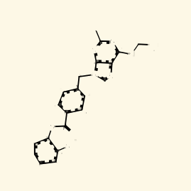 CCNc1nc(Cl)nc2c1ncn2Cc1ccc(C(=O)Nc2ccccc2N)cc1